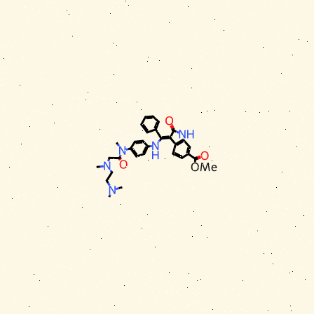 COC(=O)c1ccc2c(c1)NC(=O)C2=C(Nc1ccc(N(C)C(=O)CN(C)CCN(C)C)cc1)c1ccccc1